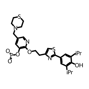 CC(C)c1cc(-c2nc(CCOc3ncc(CN4CCSCC4)cc3OP(=O)=O)cs2)cc(C(C)C)c1O